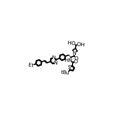 CCc1ccc(/C=C/c2cnc(-c3ccc(C[C@H](NC(=O)c4ccc(C(C)(C)C)s4)C(=O)N4CC(C(O)O)C4)cc3)nc2)cc1